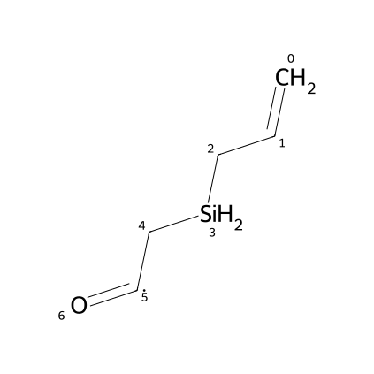 C=CC[SiH2]C[C]=O